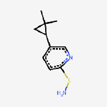 CC1(C)CC1c1ccc(SN)nc1